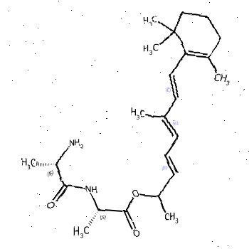 CC1=C(/C=C/C(C)=C/C=C/C(C)OC(=O)[C@H](C)NC(=O)[C@H](C)N)C(C)(C)CCC1